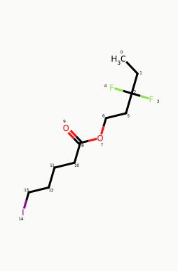 CCC(F)(F)CCOC(=O)CCCCI